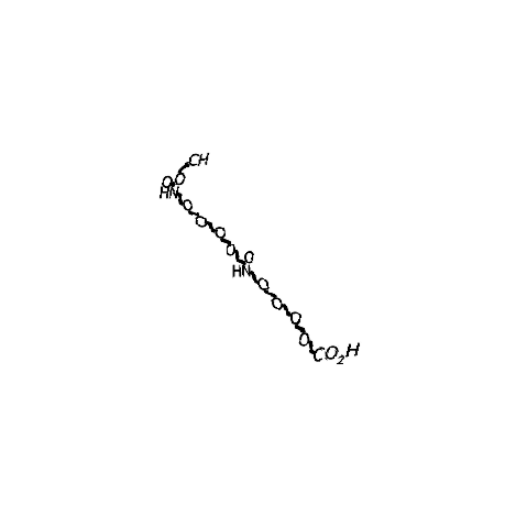 C#CCOC(=O)NCCOCCOCCOCCOCCC(=O)NCCOCCOCCOCCOCCC(=O)O